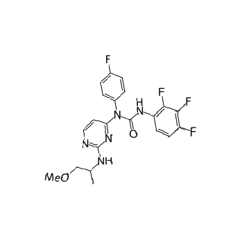 COCC(C)Nc1nccc(N(C(=O)Nc2ccc(F)c(F)c2F)c2ccc(F)cc2)n1